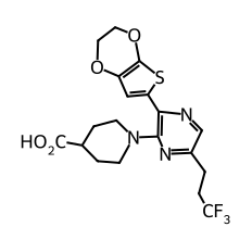 O=C(O)C1CCN(c2nc(CCC(F)(F)F)cnc2-c2cc3c(s2)OCCO3)CC1